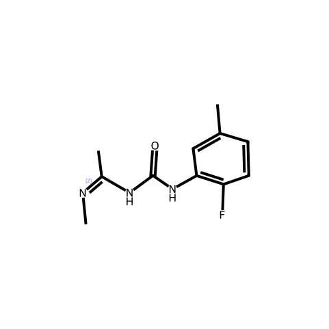 C/N=C(/C)NC(=O)Nc1cc(C)ccc1F